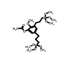 COc1c(CCC[Si](OC)(OC)OC)cc(CCC[Si](OC)(OC)OC)cc1OC(C)=O